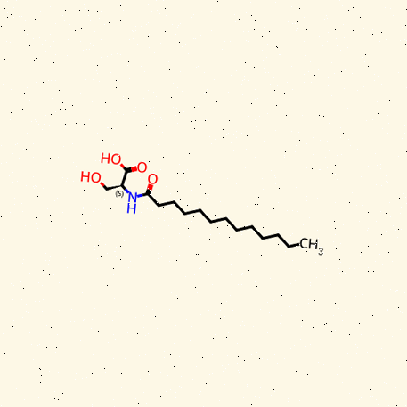 CCCCCCCCCCCCC(=O)N[C@@H](CO)C(=O)O